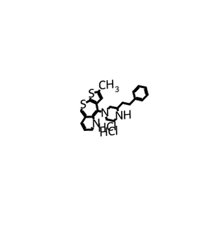 Cc1cc2c(s1)SC=c1cccnc1=C2N1CCNC(CCc2ccccc2)C1.Cl.Cl